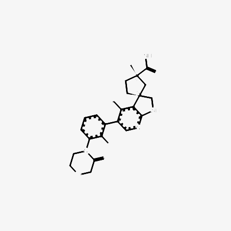 C[C@]1(C(N)=O)CC[C@]2(CNc3ncc(-c4cccc(N5CCOCC5=O)c4F)c(Cl)c32)C1